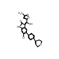 Cc1cc(C(O)=C2C(=O)Nc3cc(Cl)c(-c4ccc(C5=CCOCC5)cc4)cc32)on1